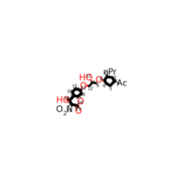 CCCc1cc(C(C)=O)ccc1OCC(O)COc1ccc2c(O)c([N+](=O)[O-])c(=O)oc2c1